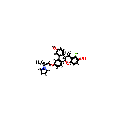 C[C@@H]1c2c(ccc(O)c2F)O[C@@H](c2ccc(OC[C@H](C)N3CCCC3)cc2)[C@H]1c1ccc(O)cc1